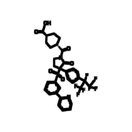 O=C1N(C(=O)[C@H]2CC[C@H](C(=O)O)CC2)CCC1(c1ccc(C(F)(C(F)(F)F)C(F)(F)F)cc1)S(=O)(=O)c1cccc(-c2ccccn2)c1